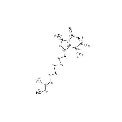 CN1CN(CCCCCCCC(O)CO)c2c1c(=O)[nH]c(=O)n2C